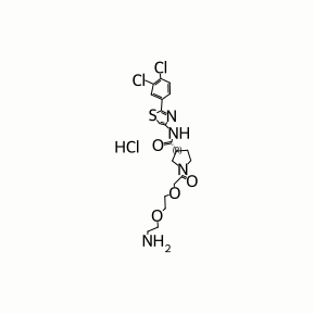 Cl.NCCOCCOCC(=O)N1CC[C@@H](C(=O)Nc2csc(-c3ccc(Cl)c(Cl)c3)n2)C1